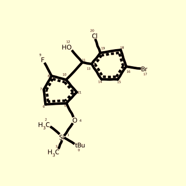 CC(C)(C)[Si](C)(C)Oc1ccc(F)c(C(O)c2ccc(Br)cc2Cl)c1